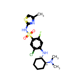 Cc1csc(NS(=O)(=O)c2cc(Cl)c(N[C@H]3CCCC[C@@H]3N(C)C)cc2F)n1